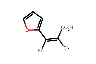 CCC(=C(C#N)C(=O)O)c1ccco1